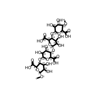 CO[C@@H]1OC(C(=O)O)[C@@H](O[C@@H]2OC(C(=O)O)[C@@H](O[C@@H]3OC(C(=O)O)[C@@H](O[C@@H]4OC(C(=O)O)[C@@H](OC)[C@@H](O)C4O)C(O)C3O)[C@H](O)C2O)C(O)C1O